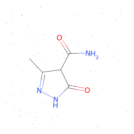 CC1=NNC(=O)C1C(N)=O